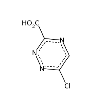 O=C(O)c1ncc(Cl)nn1